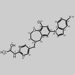 CC(O)Nc1ncc(CN2CCOc3c(Cl)cc(-n4ccc5cc(F)ccc54)cc3C2)cn1